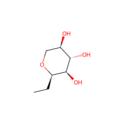 CC[C@H]1OC[C@@H](O)[C@H](O)[C@H]1O